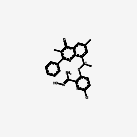 Cc1cc([C@@H](C)Oc2ccc(Cl)nc2C(N)=NO)c2oc(-c3ccccc3)c(C)c(=O)c2c1